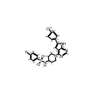 O=S(=O)(NC1CCN(c2ncnc3[nH]c(-c4ccc(Cl)cc4)cc23)CC1)c1ccc(F)cc1